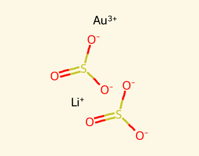 O=S([O-])[O-].O=S([O-])[O-].[Au+3].[Li+]